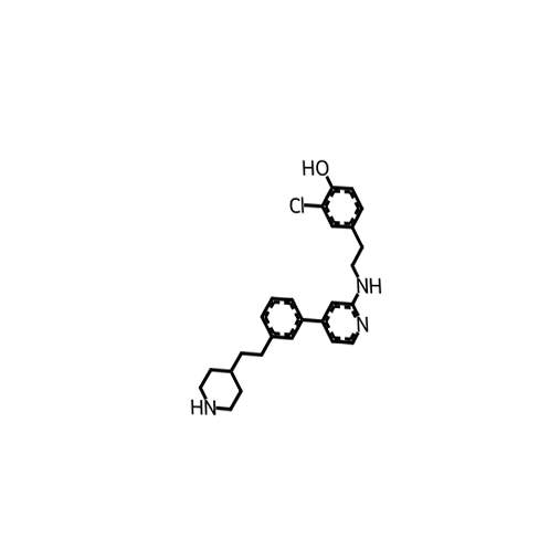 Oc1ccc(CCNc2cc(-c3cccc(CCC4CCNCC4)c3)ccn2)cc1Cl